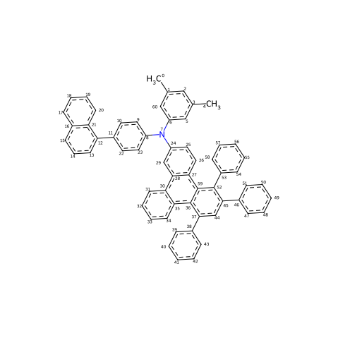 Cc1cc(C)cc(N(c2ccc(-c3cccc4ccccc34)cc2)c2ccc3c(c2)c2ccccc2c2c(-c4ccccc4)cc(-c4ccccc4)c(-c4ccccc4)c32)c1